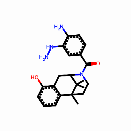 CC12CCN(C(=O)c3ccc(N)c(NN)c3)C(Cc3c(O)cccc31)C2(C)C